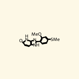 COc1cc(SC)ccc1-c1nc2[nH]c(=O)ccc2[nH]1